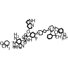 COc1ccc(CN2CCN(C3CC4(CCN(c5cc(Oc6cnc7[nH]ccc7c6)c(C(=O)NS(=O)(=O)c6cc(N)c(NC[C@H]7CC[C@](C)(O)CC7)c7[nH]cnc67)cc5F)CC4)C3)[C@H](c3ccccc3C(C)C)C2)cc1